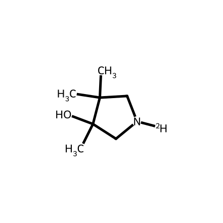 [2H]N1CC(C)(C)C(C)(O)C1